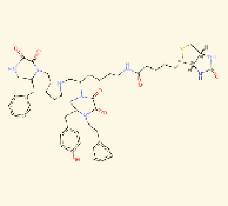 O=C(CCCC[C@@H]1SC[C@@H]2NC(=O)N[C@@H]21)NCCCCC(CN1CCCC1CN1C(=O)C(=O)NCC1Cc1ccccc1)N1CC(Cc2ccc(O)cc2)N(CCc2ccccc2)C(=O)C1=O